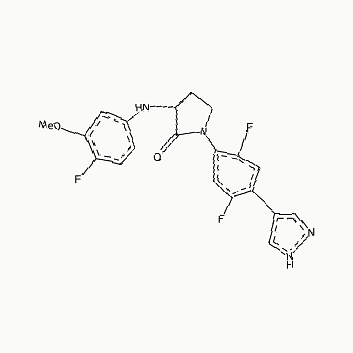 COc1cc(NC2CCN(c3cc(F)c(-c4cn[nH]c4)cc3F)C2=O)ccc1F